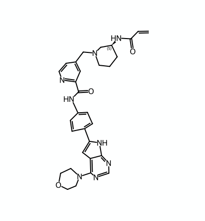 C=CC(=O)N[C@H]1CCCN(Cc2ccnc(C(=O)Nc3ccc(-c4cc5c(N6CCOCC6)ncnc5[nH]4)cc3)c2)C1